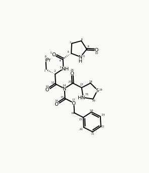 CC(C)C[C@H](NC(=O)[C@@H]1CCC(=O)N1)C(=O)N(C(=O)OCc1ccccc1)C(=O)C1CSCN1